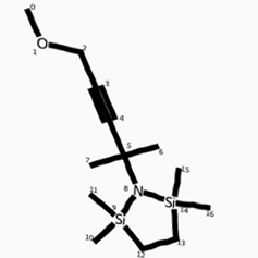 COCC#CC(C)(C)N1[Si](C)(C)CC[Si]1(C)C